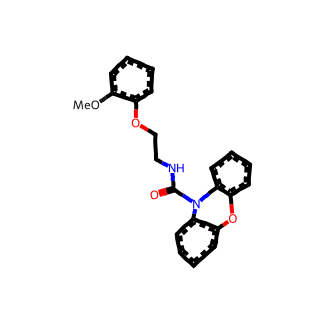 COc1ccccc1OCCNC(=O)N1c2ccccc2Oc2ccccc21